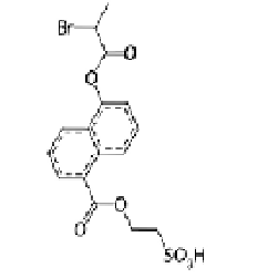 CC(Br)C(=O)Oc1cccc2c(C(=O)OCCS(=O)(=O)O)cccc12